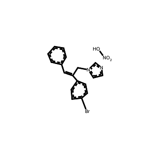 Brc1ccc(/C(=C/c2ccccc2)Cn2ccnc2)cc1.O=[N+]([O-])O